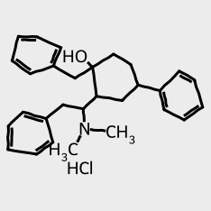 CN(C)C(Cc1ccccc1)C1CC(c2ccccc2)CCC1(O)Cc1ccccc1.Cl